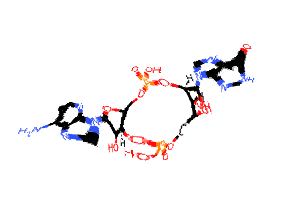 Nc1ccnc2c1ncn2C1OC2COP(=O)(O)O[C@H]3C(n4cnc5c(=O)[nH]cnc54)OC(COP(=O)(O)O[C@H]2[C@H]1O)[C@H]3O